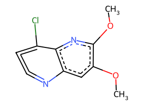 COc1cc2c(nc1OC)C(Cl)=C=C=N2